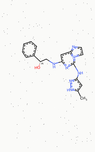 Cc1cc(Nc2nc(NC[C@H](O)c3ccccc3)cc3nccn23)n[nH]1